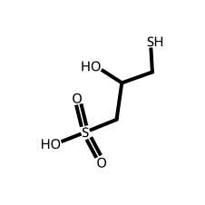 O=S(=O)(O)CC(O)CS